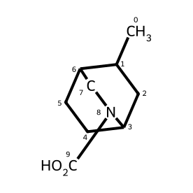 CC1CC2CCC1CN2C(=O)O